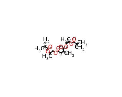 C=C(C)C(=O)OC(C)COC(=O)CC(C)C(=O)OCC(C)OC(=O)C(=C)C